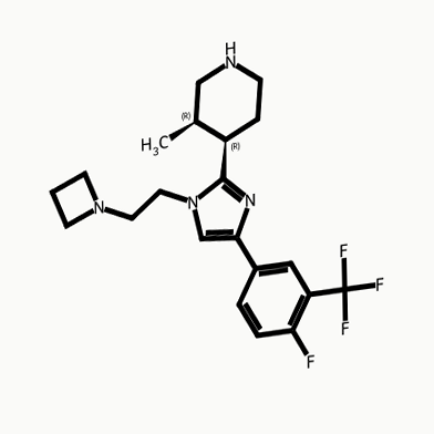 C[C@H]1CNCC[C@H]1c1nc(-c2ccc(F)c(C(F)(F)F)c2)cn1CCN1CCC1